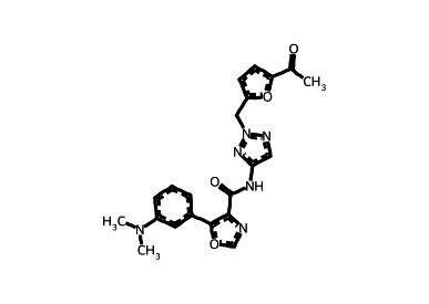 CC(=O)c1ccc(Cn2ncc(NC(=O)c3ncoc3-c3cccc(N(C)C)c3)n2)o1